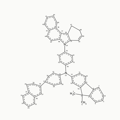 CC1(C)c2ccccc2-c2ccc(N(c3ccc(-c4ccc5ccccc5c4)cc3)c3ccc(-n4c5c(c6c7ccccc7ccc64)CCC=C5)cc3)cc21